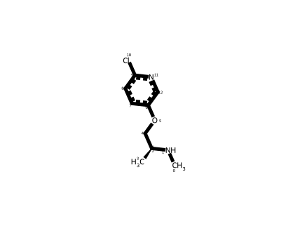 CN[C@@H](C)COc1ccc(Cl)nc1